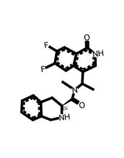 CC(c1c[nH]c(=O)c2cc(F)c(F)cc12)N(C)C(=O)[C@@H]1Cc2ccccc2CN1